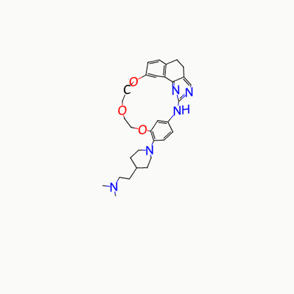 CN(C)CCC1CCN(c2ccc3cc2OCCOCCOc2ccc4c(c2)-c2nc(ncc2CC4)N3)CC1